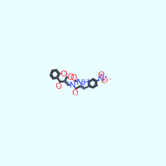 O=C1Oc2ccccc2C(=O)/C1=C/N1C(=O)N/C(=C\c2ccc([N+](=O)[O-])cc2)C1=O